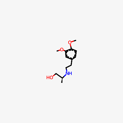 COc1ccc(CCN[C@@H](C)CO)cc1OC